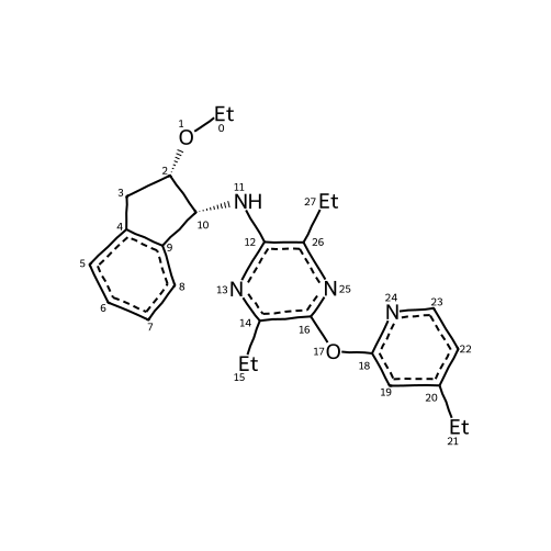 CCO[C@H]1Cc2ccccc2[C@H]1Nc1nc(CC)c(Oc2cc(CC)ccn2)nc1CC